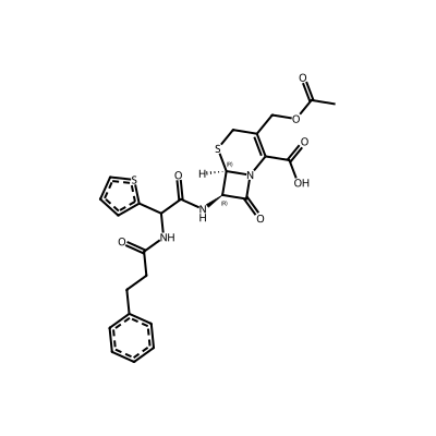 CC(=O)OCC1=C(C(=O)O)N2C(=O)[C@@H](NC(=O)C(NC(=O)CCc3ccccc3)c3cccs3)[C@H]2SC1